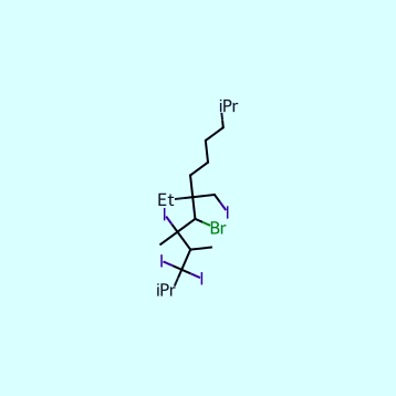 CCC(CI)(CCCCC(C)C)C(Br)C(C)(I)C(C)C(I)(I)C(C)C